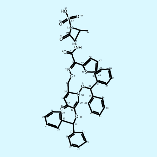 CC1[C@H](NC(=O)C(=NOCc2cc(=O)c(OC(c3ccccc3)c3ccccc3)cn2OC(c2ccccc2)c2ccccc2)c2cccs2)C(=O)N1S(=O)(=O)O